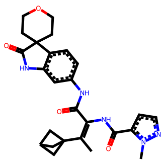 CC(=C(NC(=O)c1ccnn1C)C(=O)Nc1ccc2c(c1)NC(=O)C21CCOCC1)C12CC(C1)C2